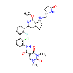 COc1nc(-c2cccc(-c3cccc(NC(=O)c4cn(C)c(=O)n(C)c4=O)c3Cl)c2F)cc2c1[C@H](NC[C@@H]1CCC(=O)N1)CC2